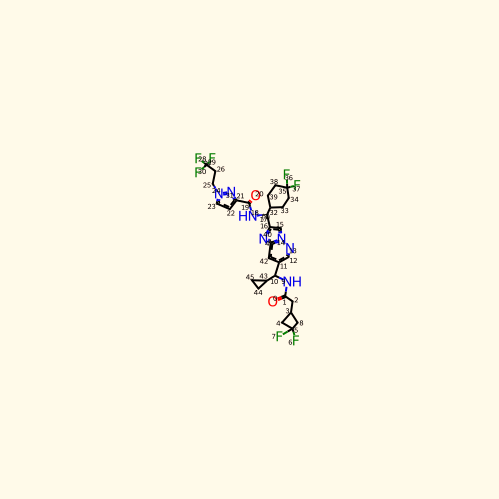 O=C(CC1CC(F)(F)C1)NC(c1cnn2cc([C@@H](NC(=O)c3ccn(CCC(F)(F)F)n3)C3CCC(F)(F)CC3)nc2c1)C1CC1